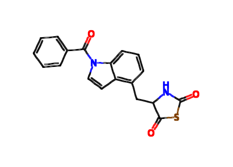 O=C1NC(Cc2cccc3c2ccn3C(=O)c2ccccc2)C(=O)S1